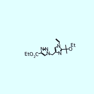 C=Cn1cc(Cn2cc(C(=O)OCC)nn2)nc1C(C)(C)OCC